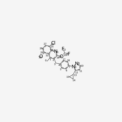 Cc1c(Cc2ccc(-n3nccc3C3CC3)cc2)c(OC(F)F)nc2c(Cl)ccc([O])c12